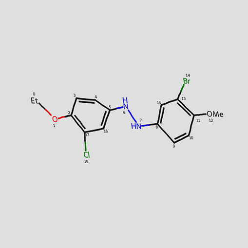 CCOc1ccc(NNc2ccc(OC)c(Br)c2)cc1Cl